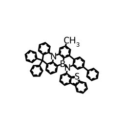 Cc1cc2c3c(c1)N1c4ccccc4C(c4ccccc4)(c4ccccc4)c4cccc(c41)B3N(c1cccc3c1sc1ccccc13)c1cc(-c3ccccc3)ccc1-2